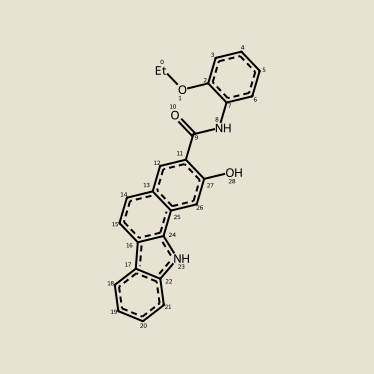 CCOc1ccccc1NC(=O)c1cc2ccc3c4ccccc4[nH]c3c2cc1O